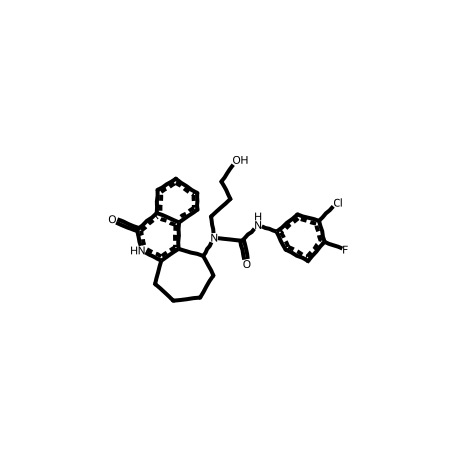 O=C(Nc1ccc(F)c(Cl)c1)N(CCCO)C1CCCCc2[nH]c(=O)c3ccccc3c21